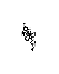 Cl.Cl.O=C(Nc1cccc(C(=O)C2CCN(CC3CC3)CC2)n1)c1c(F)cc(F)cc1F